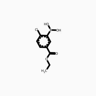 CCOC(=O)c1ccc(Cl)c(B(O)O)c1